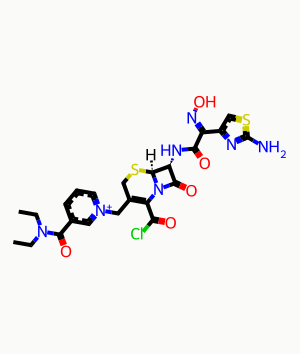 CCN(CC)C(=O)c1ccc[n+](CC2=C(C(=O)Cl)N3C(=O)[C@@H](NC(=O)C(=NO)c4csc(N)n4)[C@@H]3SC2)c1